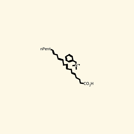 CCCCCC=CCC=CCC=CCC=CCCCC(=O)O.C[N+](C)(C)Cc1ccccc1